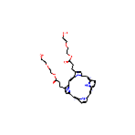 O=C(CCC1=CC2/C=c3/cc/c([nH]3)=C/C3C=C/C(=C/c4cc(CCC(=O)OCCOCCO)c([nH]4)/C=C/1N2)N3)OCCOCCO